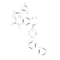 Cc1cc2c(cc1C(=O)N1CCN(c3cccc(-c4ccccc4)c3)CC1)[nH]c(=O)c1nnc(-c3sccc3C)n12